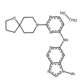 CC(C)n1cnc2cnc(Nc3ccnc(N4CCC5(CCCO5)CC4)n3)cc21.O=CO